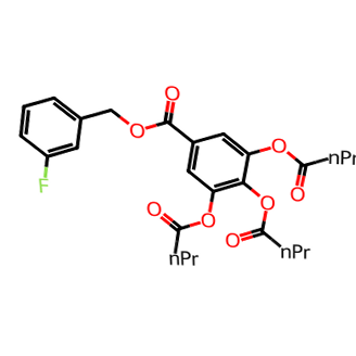 CCCC(=O)Oc1cc(C(=O)OCc2cccc(F)c2)cc(OC(=O)CCC)c1OC(=O)CCC